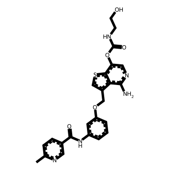 Cc1ccc(C(=O)Nc2cccc(OCc3csc4c(OC(=O)NCCO)cnc(N)c34)c2)cn1